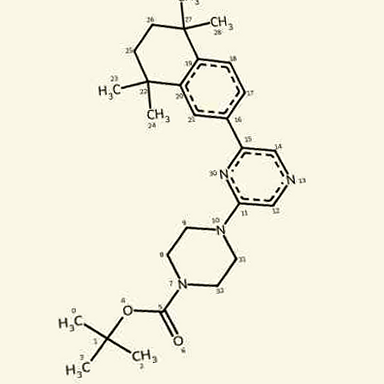 CC(C)(C)OC(=O)N1CCN(c2cncc(-c3ccc4c(c3)C(C)(C)CCC4(C)C)n2)CC1